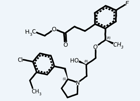 CCOC(=O)CCc1ccc(F)cc1[C@@H](C)OC[C@H](O)CN1CCC[C@H]1Cc1ccc(Cl)c(CC)c1